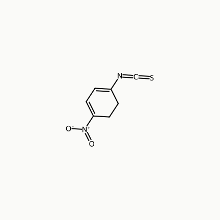 O=[N+]([O-])C1=CC=C(N=C=S)CC1